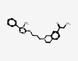 CCC(=O)c1ccc2c(c1)CN(CCCSc1nnc(-c3ccccc3)n1C)CC2